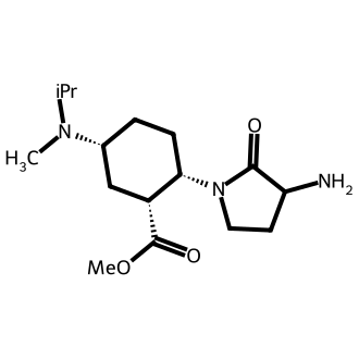 COC(=O)[C@@H]1C[C@H](N(C)C(C)C)CC[C@@H]1N1CCC(N)C1=O